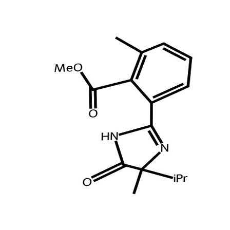 COC(=O)c1c(C)cccc1C1=NC(C)(C(C)C)C(=O)N1